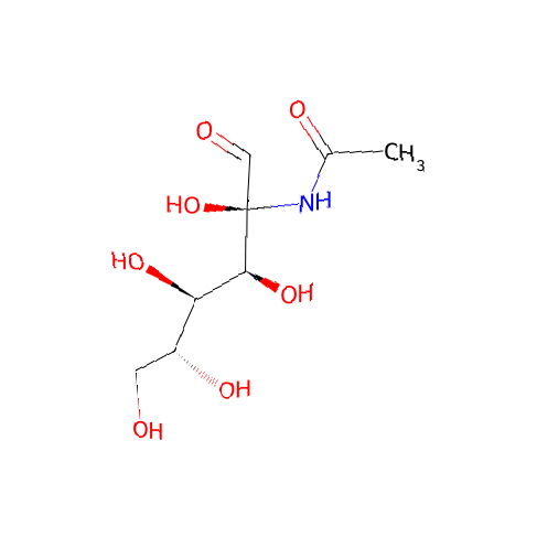 CC(=O)N[C@@](O)(C=O)[C@@H](O)[C@H](O)[C@H](O)CO